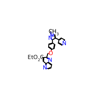 CCOC(=O)c1cc2ncccc2nc1COc1ccc(-c2nn(C)cc2-c2ccncc2)cc1